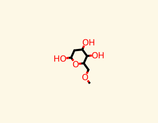 COCC1OC(O)CC(O)C1O